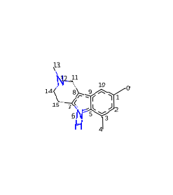 Cc1cc(C)c2[nH]c3c(c2c1)CN(C)CC3